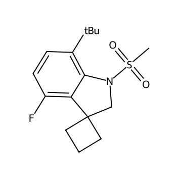 CC(C)(C)c1ccc(F)c2c1N(S(C)(=O)=O)CC21CCC1